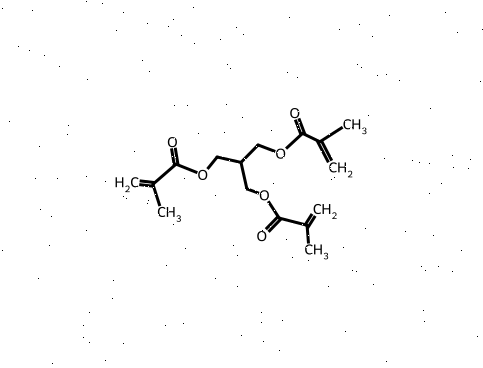 C=C(C)C(=O)OCC(COC(=O)C(=C)C)COC(=O)C(=C)C